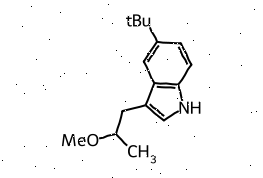 COC(C)Cc1c[nH]c2ccc(C(C)(C)C)cc12